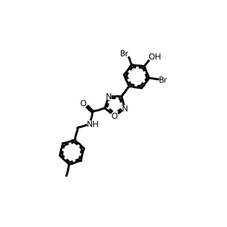 Cc1ccc(CNC(=O)c2nc(-c3cc(Br)c(O)c(Br)c3)no2)cc1